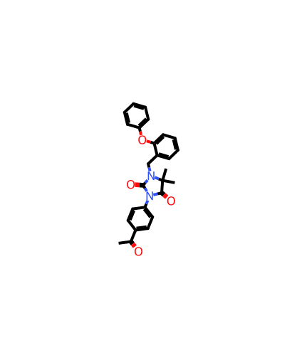 CC(=O)c1ccc(N2C(=O)N(Cc3ccccc3Oc3ccccc3)C(C)(C)C2=O)cc1